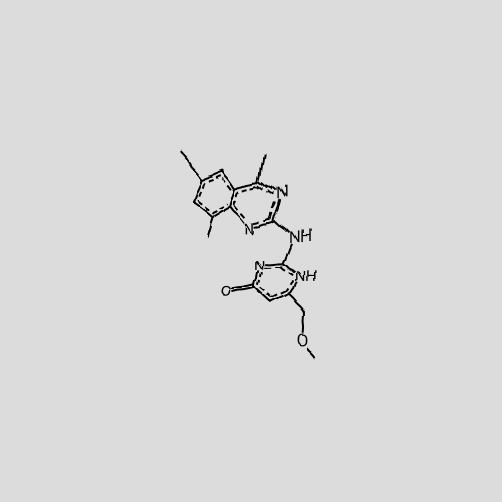 COCc1cc(=O)nc(Nc2nc(C)c3cc(C)cc(C)c3n2)[nH]1